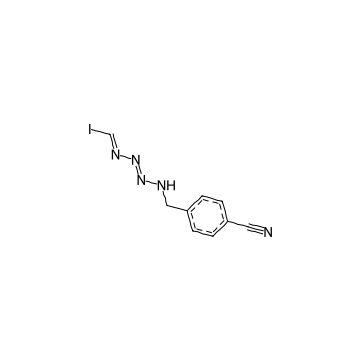 N#Cc1ccc(CNN=NN=CI)cc1